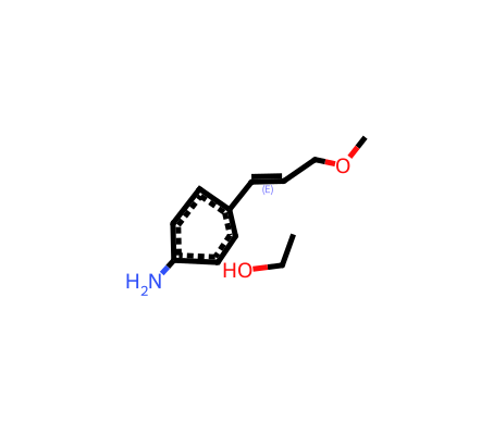 CCO.COC/C=C/c1ccc(N)cc1